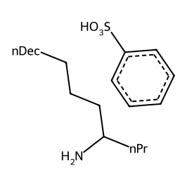 CCCCCCCCCCCCCC(N)CCC.O=S(=O)(O)c1ccccc1